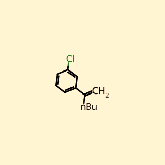 C=C(CCCC)c1cccc(Cl)c1